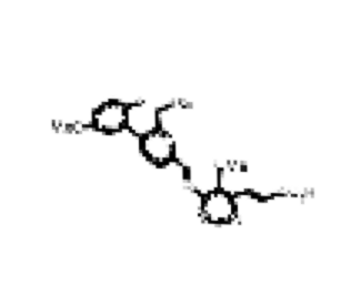 COc1ccc(F)c(-c2ccc(COc3ncnc(/C=C/C(=O)O)c3OC)nc2CC(C)(C)C)c1